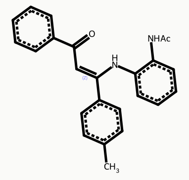 CC(=O)Nc1ccccc1N/C(=C\C(=O)c1ccccc1)c1ccc(C)cc1